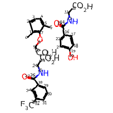 Cc1cccc(C)c1OCC(=O)O.O=C(O)CNC(=O)c1ccc(O)cc1.O=C(O)CNC(=O)c1cccc(C(F)(F)F)c1